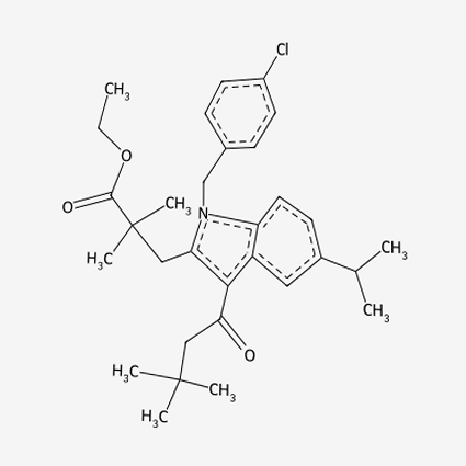 CCOC(=O)C(C)(C)Cc1c(C(=O)CC(C)(C)C)c2cc(C(C)C)ccc2n1Cc1ccc(Cl)cc1